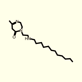 CCCCCCCCCCCCNCCN1CCN=C(C)CC1=O